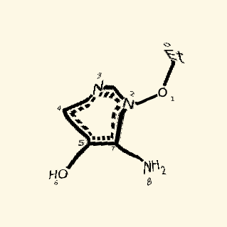 CCOn1ncc(O)c1N